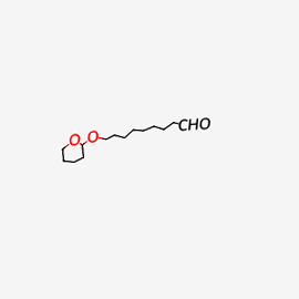 O=CCCCCCCCCOC1CCCCO1